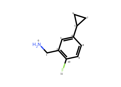 NCc1cc(C2CC2)ccc1F